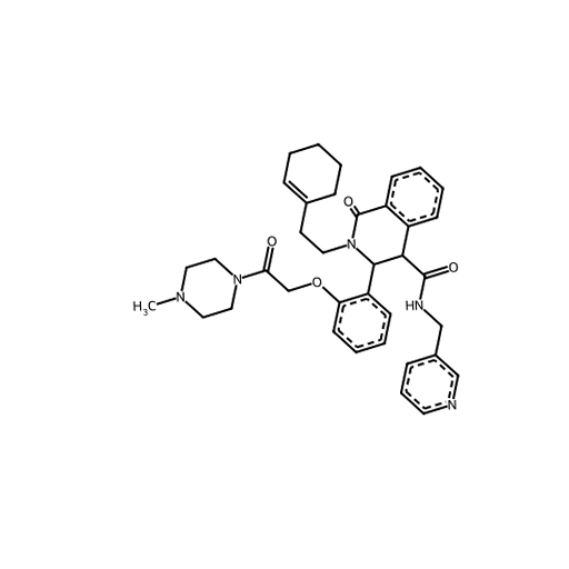 CN1CCN(C(=O)COc2ccccc2C2C(C(=O)NCc3cccnc3)c3ccccc3C(=O)N2CCC2=CCCCC2)CC1